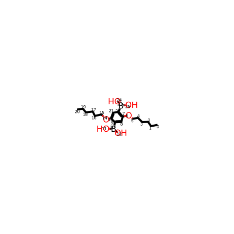 CCCCCCOc1cc(B(O)O)c(OCCCCCC)cc1B(O)O